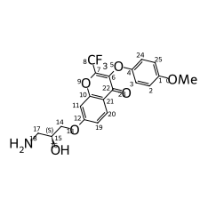 COc1ccc(Oc2c(C(F)(F)F)oc3cc(OC[C@@H](O)CN)ccc3c2=O)cc1